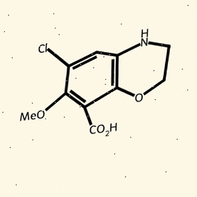 COc1c(Cl)cc2c(c1C(=O)O)OCCN2